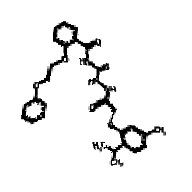 Cc1ccc(C(C)C)c(OCC(=O)NNC(=S)NC(=O)c2ccccc2OCCOc2ccccc2)c1